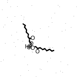 CCCCCCCC(=O)CO[PH](=O)OCC(=O)CCCCCCC